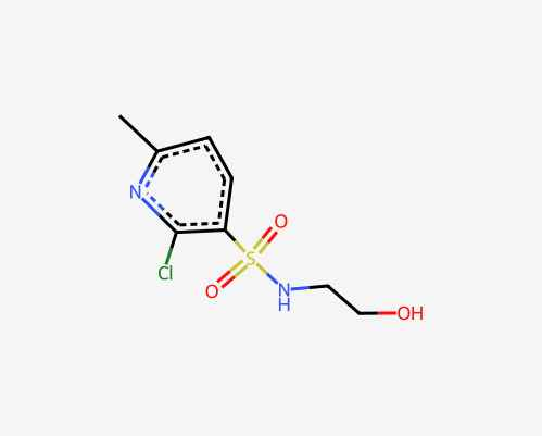 Cc1ccc(S(=O)(=O)NCCO)c(Cl)n1